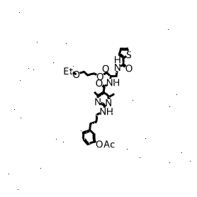 CCOCCCOC(=O)C(CNC(=O)c1cccs1)NC(=O)c1c(C)nc(NCCCc2cccc(OC(C)=O)c2)nc1C